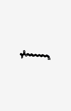 C=C(F)C(=O)OCCC=CCCCC=CC/C=C\CC